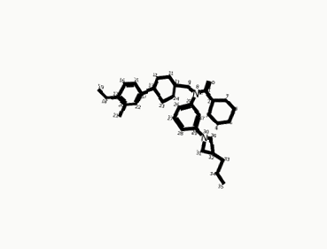 C=C(C1CCCCC1)N(CC1CCC(c2ccc(CC)c(C)c2)CC1)c1cccc(N2CC(CCC)C2)c1